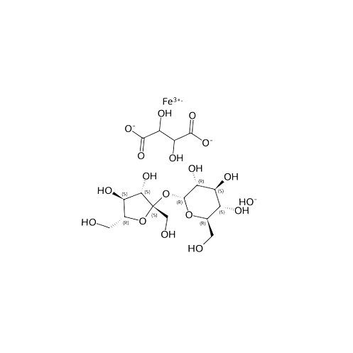 O=C([O-])C(O)C(O)C(=O)[O-].OC[C@H]1O[C@@](CO)(O[C@H]2O[C@H](CO)[C@@H](O)[C@H](O)[C@H]2O)[C@@H](O)[C@@H]1O.[Fe+3].[OH-]